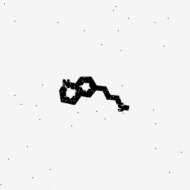 CSCCCc1ccc2ncccc2c1